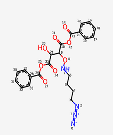 [N-]=[N+]=NCCCCNOC(C(=O)OC(=O)c1ccccc1)C(O)C(=O)OC(=O)c1ccccc1